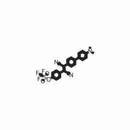 CN(C)c1ccc(-c2ccc(/C(C#N)=C(\C#N)c3ccc(OS(=O)(=O)C(F)(F)F)cc3)cc2)cc1